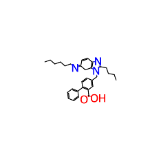 CCCCCCN=C1C=Cc2nc(CCCC)n(Cc3ccc(-c4ccccc4)c(C(=O)O)c3)c2C1